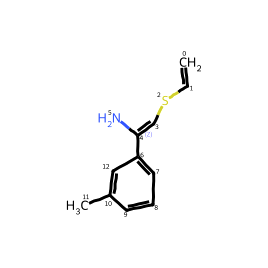 C=CS/C=C(\N)c1cccc(C)c1